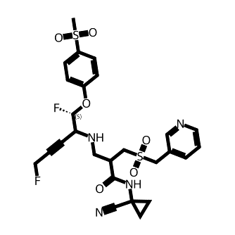 CS(=O)(=O)c1ccc(O[C@@H](F)C(C#CCF)NCC(CS(=O)(=O)Cc2cccnc2)C(=O)NC2(C#N)CC2)cc1